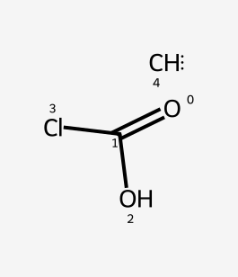 O=C(O)Cl.[CH]